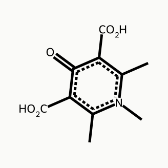 Cc1c(C(=O)O)c(=O)c(C(=O)O)c(C)n1C